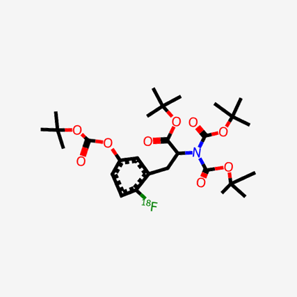 CC(C)(C)OC(=O)Oc1ccc([18F])c(CC(C(=O)OC(C)(C)C)N(C(=O)OC(C)(C)C)C(=O)OC(C)(C)C)c1